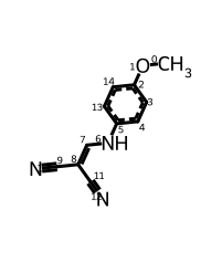 COc1ccc(NC=C(C#N)C#N)cc1